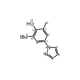 Cc1cc(-n2cccn2)cc(C(C)(C)C)c1O